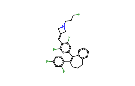 FCCCN1CC(=Cc2c(F)cc(C3=C(c4ccc(F)cc4F)CCCc4ccccc43)cc2F)C1